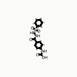 O=C(O)Nc1ccc(C(=O)NNS(=O)(=O)c2ccccc2)cc1